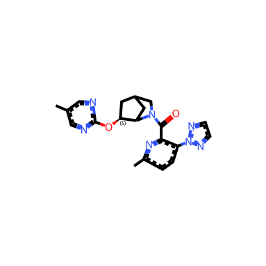 Cc1cnc(O[C@H]2CC3CC2N(C(=O)c2nc(C)ccc2-n2nccn2)C3)nc1